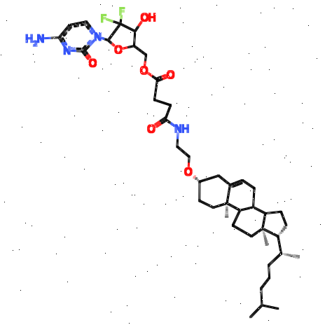 CC(C)CCC[C@@H](C)[C@H]1CCC2C3CC=C4C[C@@H](OCCNC(=O)CCC(=O)OCC5OC(n6ccc(N)nc6=O)C(F)(F)C5O)CC[C@]4(C)C3CC[C@@]21C